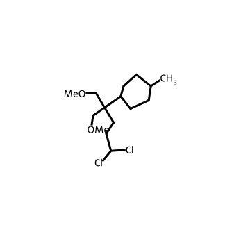 COCC(CCC(Cl)Cl)(COC)C1CCC(C)CC1